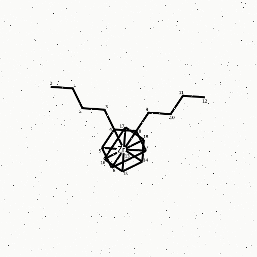 CCCC[C]12[CH]3[CH]4[CH]5[C]1(CCCC)[Zr]43521678[CH]2[CH]1[CH]6[CH]7[CH]28